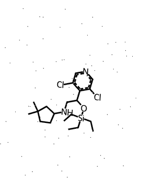 CC[Si](CC)(CC)OC(CNC1CCC(C)(C)C1)c1c(Cl)cncc1Cl